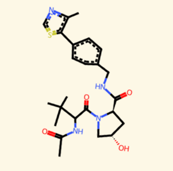 CC(=O)NC(C(=O)N1C[C@@H](O)C[C@@H]1C(=O)NCc1ccc(-c2scnc2C)cc1)C(C)(C)C